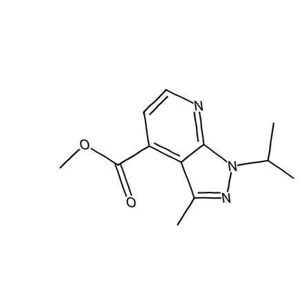 COC(=O)c1ccnc2c1c(C)nn2C(C)C